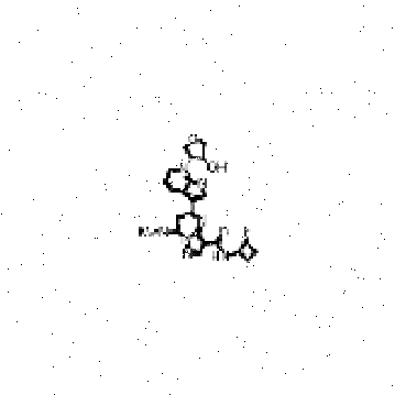 CNc1cc(-c2cnc3n([C@@H]4COC[C@H]4O)cccc2-3)nc2c(C(=O)NC3CC[C@H]3F)cnn12